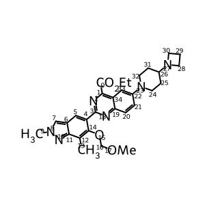 CCOC(=O)c1nc(-c2cc3cn(C)nc3c(C)c2OCOC)nc2ccc(N3CCC(N4CCC4)CC3)cc12